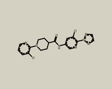 O=C(Nc1cnc(-n2nccn2)c(Cl)c1)C1CCN(c2ncccc2Cl)CC1